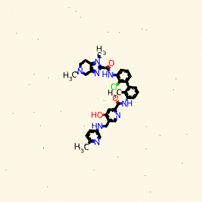 Cc1ccc(NCc2cnc(C(=O)Nc3cccc(-c4cccc(NC(=O)c5nc6c(n5C)CCN(C)C6)c4Cl)c3C)cc2O)cn1